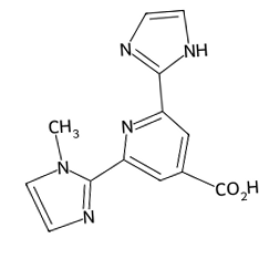 Cn1ccnc1-c1cc(C(=O)O)cc(-c2ncc[nH]2)n1